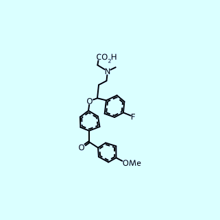 COc1ccc(C(=O)c2ccc(OC(CCN(C)CC(=O)O)c3ccc(F)cc3)cc2)cc1